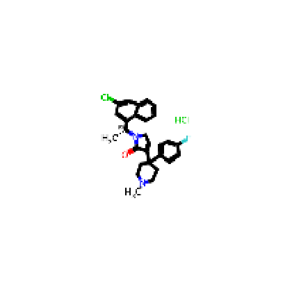 C[C@H](c1cc(Cl)cc2ccccc12)N1CC=C(C2(c3ccc(F)cc3)CCN(C)CC2)C1=O.Cl